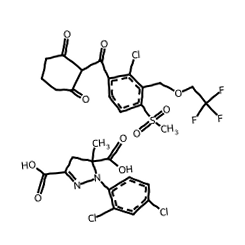 CC1(C(=O)O)CC(C(=O)O)=NN1c1ccc(Cl)cc1Cl.CS(=O)(=O)c1ccc(C(=O)C2C(=O)CCCC2=O)c(Cl)c1COCC(F)(F)F